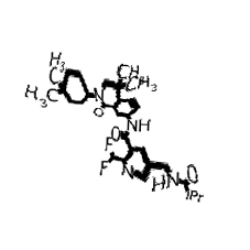 CC(C)C(=O)NCc1cnc(C(F)F)c(C(=O)Nc2ccc3c(c2)C(=O)N(C2CCC(C)(C)CC2)CC3(C)C)c1